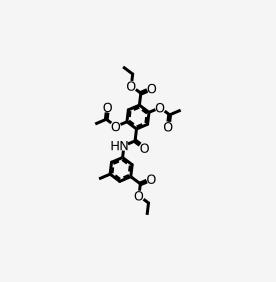 CCOC(=O)c1cc(C)cc(NC(=O)c2cc(OC(C)=O)c(C(=O)OCC)cc2OC(C)=O)c1